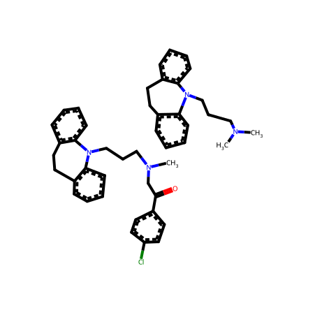 CN(C)CCCN1c2ccccc2CCc2ccccc21.CN(CCCN1c2ccccc2CCc2ccccc21)CC(=O)c1ccc(Cl)cc1